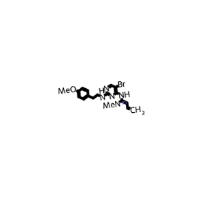 C=C/C=C(\NC)Nc1nc(NCCc2ccc(OC)cc2)ncc1Br